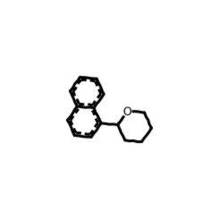 c1ccc2c([C]3CCCCO3)cccc2c1